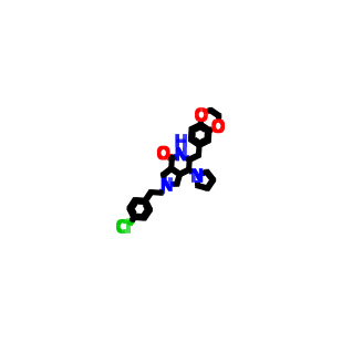 O=C1NC(Cc2ccc3c(c2)OCCO3)C(N2CCCC2)C2CN(CCc3ccc(Cl)cc3)CC12